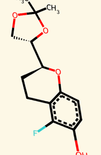 CC1(C)OC[C@@H]([C@@H]2CCc3c(ccc(O)c3F)O2)O1